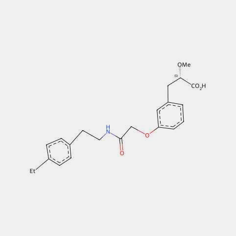 CCc1ccc(CCNC(=O)COc2cccc(C[C@H](OC)C(=O)O)c2)cc1